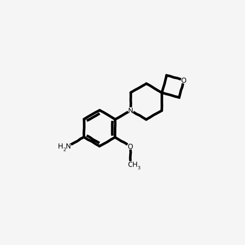 COc1cc(N)ccc1N1CCC2(CC1)COC2